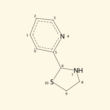 [c]1cccnc1C1NCCS1